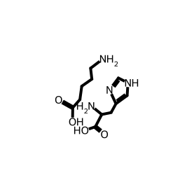 NC(Cc1c[nH]cn1)C(=O)O.NCCCCC(=O)O